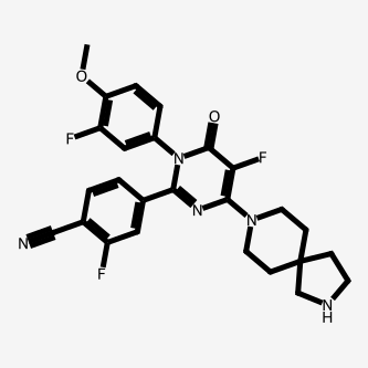 COc1ccc(-n2c(-c3ccc(C#N)c(F)c3)nc(N3CCC4(CCNC4)CC3)c(F)c2=O)cc1F